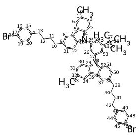 Cc1ccc2c(c1)c1cc(CCCCc3ccc(Br)cc3)ccc1n2-c1cc(-n2c3ccc(C)cc3c3cc(CCCCc4ccc(Br)cc4)ccc32)cc(C(C)(C)C)c1